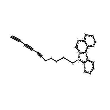 C#CC#CC#CCCCCCn1c2ccccc2c2c3ccccc3ncc21